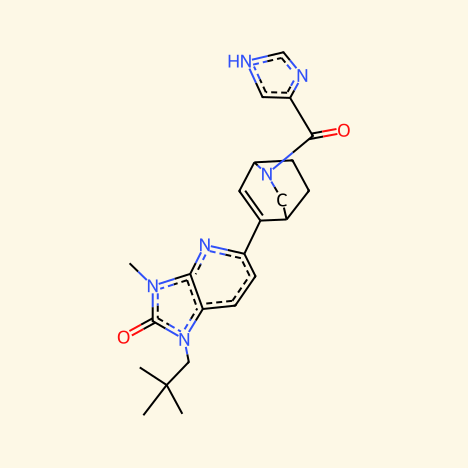 Cn1c(=O)n(CC(C)(C)C)c2ccc(C3=CC4CCC3CN4C(=O)c3c[nH]cn3)nc21